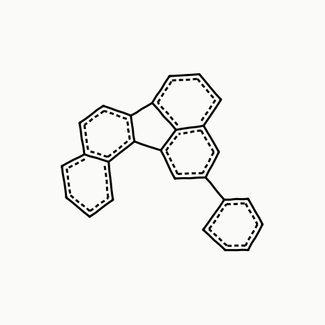 c1ccc(-c2cc3c4c(cccc4c2)-c2ccc4ccccc4c2-3)cc1